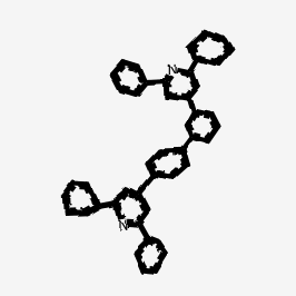 c1ccc(-c2cc(-c3ccc(-c4cccc(-c5cc(-c6ccccc6)nc(-c6ccccc6)c5)c4)cc3)cc(-c3ccccc3)n2)cc1